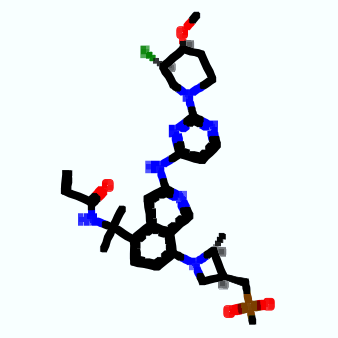 C=CC(=O)NC(C)(C)c1ccc(N2C[C@H](CS(C)(=O)=O)[C@H]2C)c2cnc(Nc3ccnc(N4CC[C@@H](OC)[C@@H](F)C4)n3)cc12